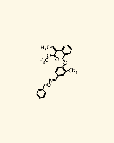 CC=C(C(=O)OC)c1ccccc1COc1ccc(C=NOCc2ccccc2)cc1C